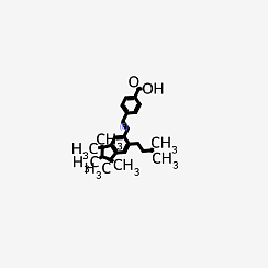 CC(C)CCc1cc2c(cc1/C=C/c1ccc(C(=O)O)cc1)C(C)(C)C(C)C2(C)C